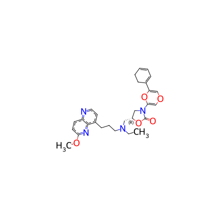 CCN(CCCc1ccnc2ccc(OC)nc12)C[C@@H]1CN(C2=COC=C(C3=CC=CCC3)O2)C(=O)O1